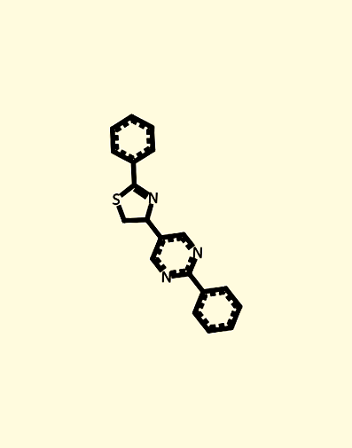 c1ccc(C2=NC(c3cnc(-c4ccccc4)nc3)CS2)cc1